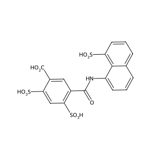 O=C(O)c1cc(C(=O)Nc2cccc3cccc(S(=O)(=O)O)c23)c(S(=O)(=O)O)cc1S(=O)(=O)O